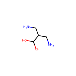 NCC(CN)C(O)O